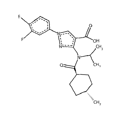 CC(C)N(c1nn(-c2ccc(F)c(F)c2)cc1C(=O)O)C(=O)[C@H]1CC[C@H](C)CC1